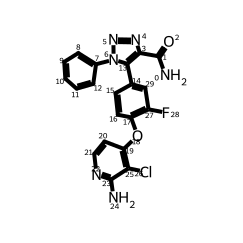 NC(=O)c1nnn(-c2ccccc2)c1-c1ccc(Oc2ccnc(N)c2Cl)c(F)c1